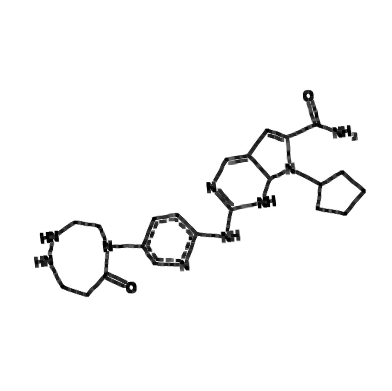 NC(=O)C1=CC2=CN=C(Nc3ccc(N4CCNNCCC4=O)cn3)NC2N1C1CCCC1